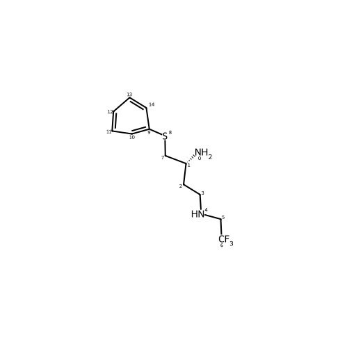 N[C@H](CCNCC(F)(F)F)CSc1ccccc1